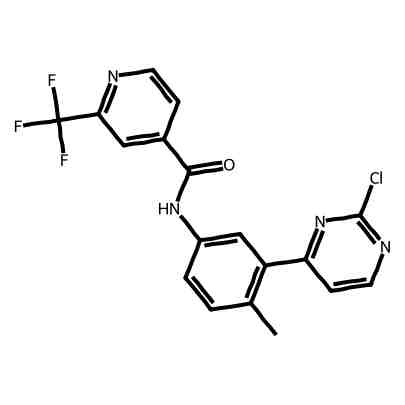 Cc1ccc(NC(=O)c2ccnc(C(F)(F)F)c2)cc1-c1ccnc(Cl)n1